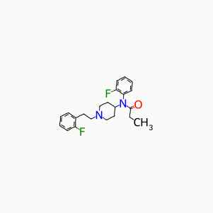 CCC(=O)N(c1ccccc1F)C1CCN(CCc2ccccc2F)CC1